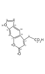 O=C(O)Cc1cc(=O)oc2cc3occc3cc12